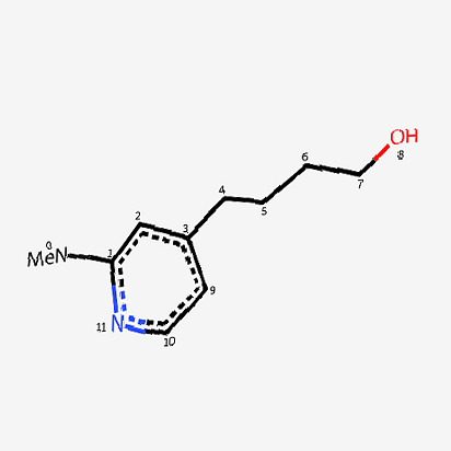 [CH]Nc1cc(CCCCO)ccn1